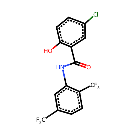 O=C(Nc1cc(C(F)(F)F)ccc1C(F)(F)F)c1cc(Cl)ccc1O